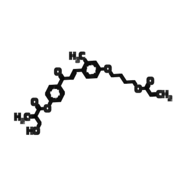 C=CC(=O)OCCCCOc1ccc(/C=C/C(=O)c2ccc(OC(=O)C(=C)CO)cc2)c(C)c1